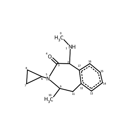 CNC1C(=O)N(C2CC2)C(C)Cc2ccccc21